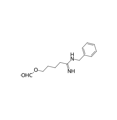 N=C(CCCCO[C]=O)NCc1ccccc1